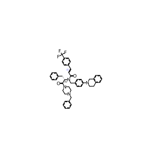 O=C([C@H](Cc1ccccc1)N(Cc1ccc(N2CCc3ccccc3C2)cc1)C(=O)/C=C/c1ccc(C(F)(F)F)cc1)N1CCN(Cc2ccccc2)CC1